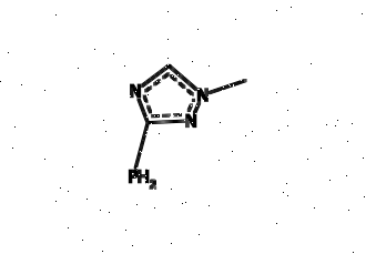 Cn1cnc(P)n1